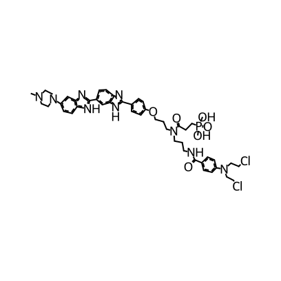 CN1CCN(c2ccc3[nH]c(-c4ccc5nc(-c6ccc(OCCCN(CCCNC(=O)c7ccc(N(CCCl)CCCl)cc7)C(=O)CCP(=O)(O)O)cc6)[nH]c5c4)nc3c2)CC1